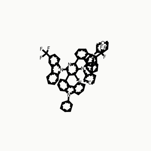 N#Cc1c(-c2cccc3c2c2ccccc2n3-c2ccccc2)c(-n2c3ccccc3c3cc(C(F)(F)F)ccc32)nc(-c2cccc3c2c2ccccc2n3-c2ccccc2)c1-n1c2ccccc2c2cc(C(F)(F)F)ccc21